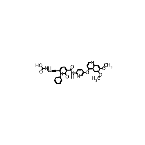 COc1cc2nccc(Oc3ccc(NC(=O)c4ccc(C#CCNC(=O)O)n(-c5ccccc5)c4=O)nc3)c2cc1OC